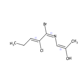 CC/C=C(Cl)/C(Br)=N\C=C(/C)O